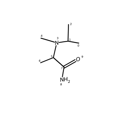 CC(C)N(C)C(C)C(N)=O